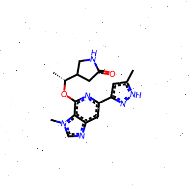 Cc1cc(-c2cc3ncn(C)c3c(O[C@H](C)C3CNC(=O)C3)n2)n[nH]1